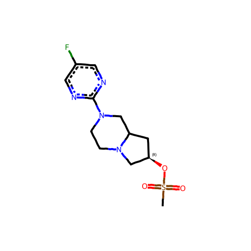 CS(=O)(=O)O[C@@H]1CC2CN(c3ncc(F)cn3)CCN2C1